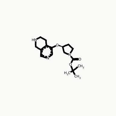 CC(C)(C)OC(=O)N1CC[C@H](Oc2cncc3c2CCNC3)C1